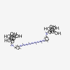 CC1=CC[C@H](C/C=C(\C)CO[C@@H]2O[C@H](CO)[C@@H](O)[C@H](O)[C@H]2O)C(C)(C)[C@@H]1/C=C/C(C)=C/C=C/C(C)=C/C=C/C=C(C)/C=C/C=C(C)/C=C/[C@@H]1C(C)=CC[C@H](C/C=C(\C)CO[C@@H]2O[C@H](CO)[C@@H](O)[C@H](O)[C@H]2O)C1(C)C